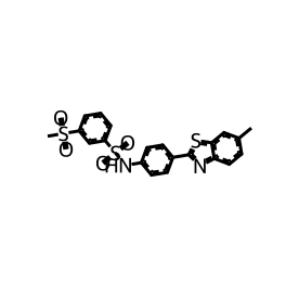 Cc1ccc2nc(-c3ccc(NS(=O)(=O)c4cccc(S(C)(=O)=O)c4)cc3)sc2c1